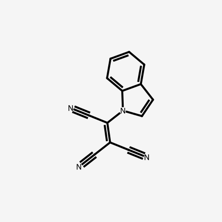 N#CC(C#N)=C(C#N)n1ccc2ccccc21